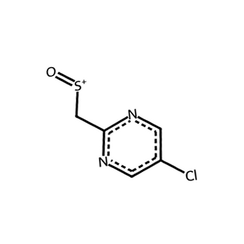 O=[S+]Cc1ncc(Cl)cn1